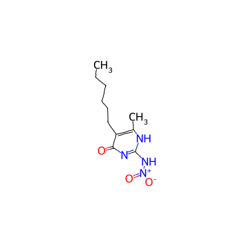 CCCCCCc1c(C)[nH]c(N[N+](=O)[O-])nc1=O